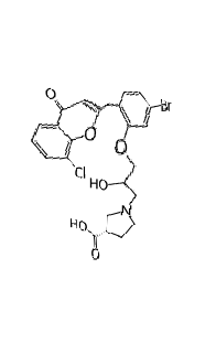 O=C(O)[C@H]1CCN(CC(O)COc2cc(Br)ccc2-c2cc(=O)c3cccc(Cl)c3o2)C1